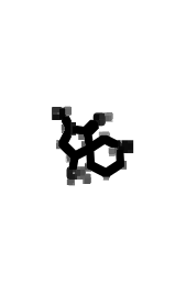 CCN1CC(C)C2(CCCNC2)C1=O